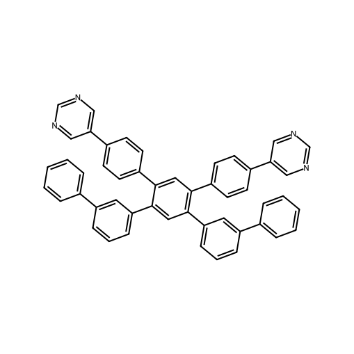 c1ccc(-c2cccc(-c3cc(-c4cccc(-c5ccccc5)c4)c(-c4ccc(-c5cncnc5)cc4)cc3-c3ccc(-c4cncnc4)cc3)c2)cc1